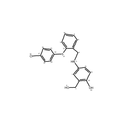 OCc1cc(NCc2ccccc2Sc2ccc(Cl)cc2)ccc1O